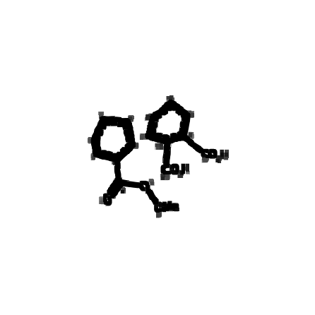 COOC(=O)c1ccccc1.O=C(O)c1ccccc1C(=O)O